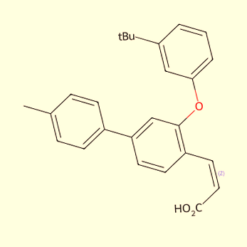 Cc1ccc(-c2ccc(/C=C\C(=O)O)c(Oc3cccc(C(C)(C)C)c3)c2)cc1